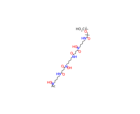 CC(=O)N(O)CCCCCNC(=O)CCC(=O)N(O)CCCCCNC(=O)CCC(=O)N(O)CCCCCNC(=O)C(C)(C)COC(C)(C)C(=O)O